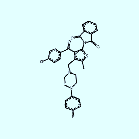 Cc1sc(N2C(=O)c3ccccc3C2=O)c(C(=O)c2ccc(Cl)cc2)c1CN1CCN(c2ccc(F)cc2)CC1